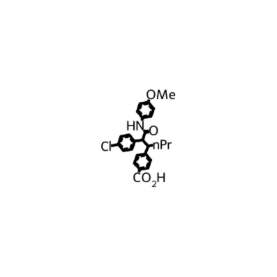 CCCC(c1ccc(C(=O)O)cc1)C(C(=O)Nc1ccc(OC)cc1)c1ccc(Cl)cc1